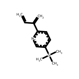 C=CC(=C)c1ccc([Si](C)(C)C)cn1